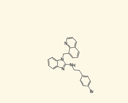 Brc1ccc(CCNc2nc3ccccc3n2Cc2cccc3cccnc23)cc1